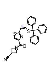 N#CC1CN(C(=O)c2csc(/C=C\SC(c3ccccc3)(c3ccccc3)c3ccccc3)n2)C1